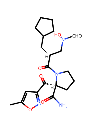 Cc1cc(C(=O)[C@@]2(C(N)=O)CCCN2C(=O)[C@H](CC2CCCC2)CN(O)C=O)no1